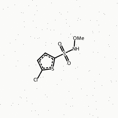 CONS(=O)(=O)c1ccc(Cl)s1